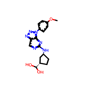 COc1ccc(-n2nnc3cnc(N[C@@H]4CC[C@H](C(O)O)C4)nc32)cc1